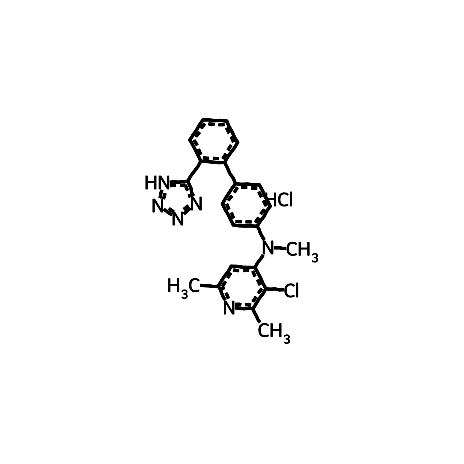 Cc1cc(N(C)c2ccc(-c3ccccc3-c3nnn[nH]3)cc2)c(Cl)c(C)n1.Cl